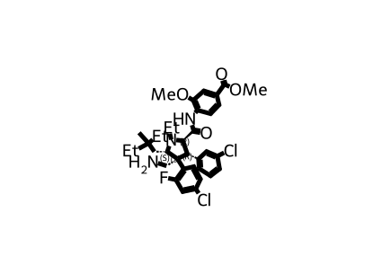 CCN1[C@@H](CC(C)(CC)CC)[C@](CN)(c2ccc(Cl)cc2F)[C@@H](c2cccc(Cl)c2)[C@@H]1C(=O)Nc1ccc(C(=O)OC)cc1OC